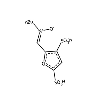 CCCC[N+]([O-])=Cc1oc(S(=O)(=O)O)cc1S(=O)(=O)O